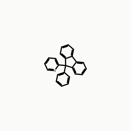 c1ccc(C2(c3ccccn3)c3ccccc3-c3ccccc32)cc1